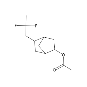 CC(=O)OC1CC2CC1CC2CC(C)(F)F